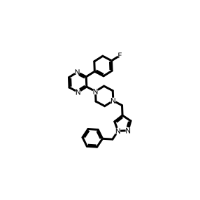 FC1=CC=C(c2nccnc2N2CCN(Cc3cnn(Cc4ccccc4)c3)CC2)CC1